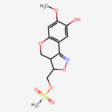 COc1cc2c(cc1O)C1=NOC(COS(C)(=O)=O)C1CO2